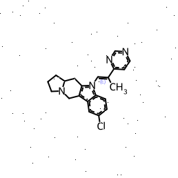 C/C(=C\n1c2c(c3cc(Cl)ccc31)CN1CCCC1C2)c1ccncn1